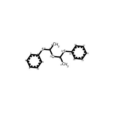 CC(OC(C)Sc1ccccc1)Sc1ccccc1